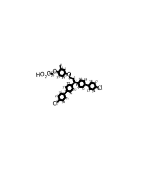 Cc1cc(OCC=C(c2ccc(-c3ccc(Cl)cc3)cc2)c2ccc(-c3ccc(Cl)cc3)cc2)ccc1OCC(=O)O